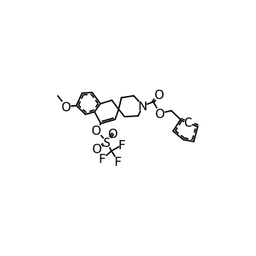 COc1ccc2c(c1)C(OS(=O)(=O)C(F)(F)F)=CC1(CCN(C(=O)OCc3ccccc3)CC1)C2